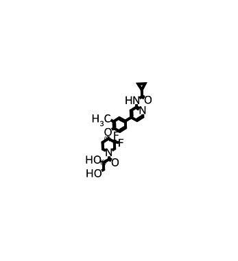 Cc1cc(-c2ccnc(NC(=O)C3CC3)c2)ccc1O[C@H]1CCN(C(=O)[C@@H](O)CO)CC1(F)F